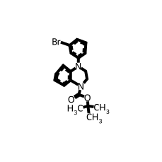 CC(C)(C)OC(=O)N1CCN(c2cccc(Br)c2)c2ccccc21